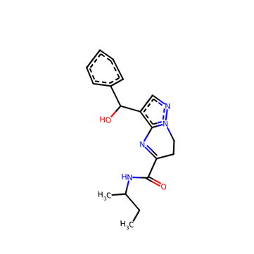 CCC(C)NC(=O)C1=Nc2c(C(O)c3ccccc3)cnn2CC1